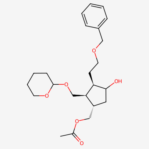 CC(=O)OC[C@H]1CC(O)[C@H](CCOCc2ccccc2)[C@@H]1COC1CCCCO1